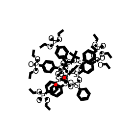 CCOP(=O)(OCC)c1ccc([Si]23O[Si]4(CC(C)CC(C)(C)C)O[Si]5(c6ccccc6)O[Si](c6ccccc6)(O2)O[Si]2(c6ccc(P(=O)(OCC)OCC)cc6)O[Si](c6ccc(P(=O)(OCC)OCC)cc6)(O5)O[Si](c5ccc(P(=O)(OCC)OCC)cc5)(O4)O[Si](c4ccc(P(=O)(OCC)OCC)cc4)(O3)O2)cc1